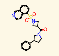 O=C(C1CN(S(=O)(=O)c2cccc3cnccc23)C1)N1CCC(c2ccccc2)C1